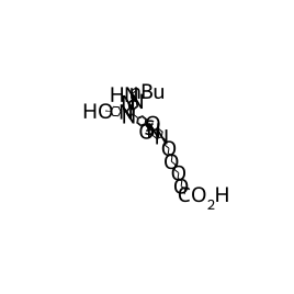 CCCCNc1ncc2c(-c3ccc(S(=O)(=O)N4CCN(CCOCCOCCOCCOCC(=O)O)CC4)cc3)nn([C@H]3CC[C@H](O)CC3)c2n1